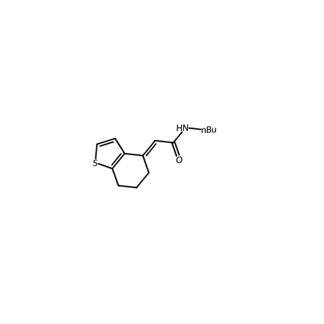 CCCCNC(=O)C=C1CCCc2sccc21